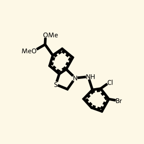 COC(OC)c1ccc2c(c1)SCN2Nc1cccc(Br)c1Cl